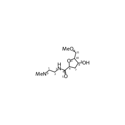 CNCCNC(=O)C1CC(O)C(COC)O1